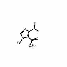 COC(=O)c1c(C(F)F)ncn1C(C)C